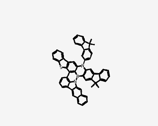 CC1(C)c2ccccc2-c2cc(N3c4cc5c(cc4B4c6c3cc3c(sc7ccccc73)c6-c3cccc6c7cc8ccccc8cc7n4c36)C(C)(C)c3ccccc3-5)ccc21